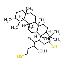 [CH2]CC(C1CC(S)C(C)(C)[C@@H]2CC[C@]3(C)[C@H](CC[C@@H]4[C@@H]5[C@@H](C)[C@H](C)CC[C@]5(C)CC[C@]43C)[C@@]12C)C(CCS)S(=O)(=O)O